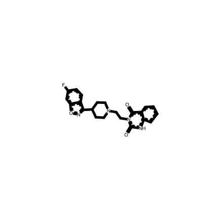 O=c1[nH]c2ccccc2c(=O)n1CCN1CCC(c2noc3cc(F)ccc23)CC1